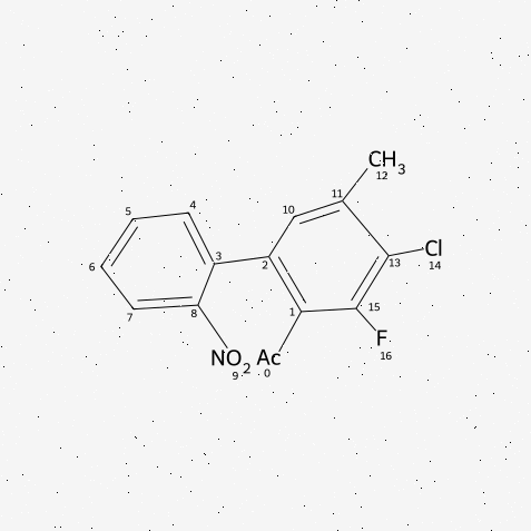 CC(=O)c1c(-c2ccccc2[N+](=O)[O-])cc(C)c(Cl)c1F